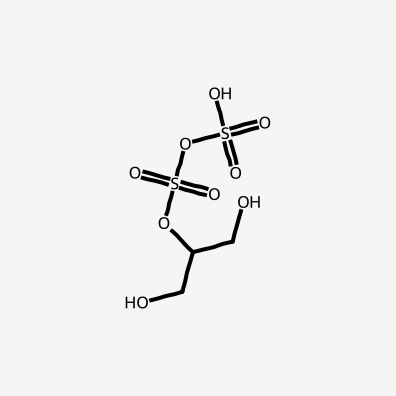 O=S(=O)(O)OS(=O)(=O)OC(CO)CO